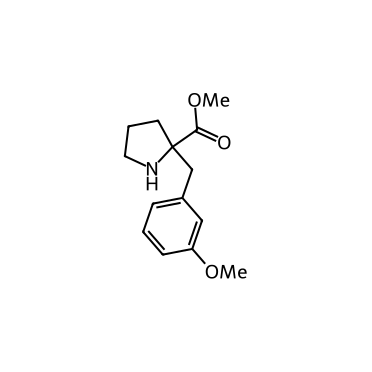 COC(=O)C1(Cc2cccc(OC)c2)CCCN1